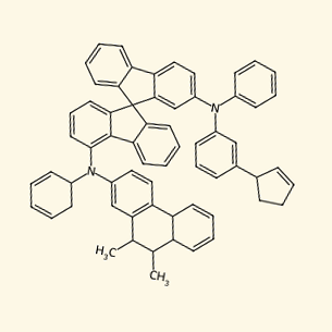 CC1c2cc(N(c3cccc4c3-c3ccccc3C43c4ccccc4-c4ccc(N(c5ccccc5)c5cccc(C6C=CCC6)c5)cc43)C3C=CC=CC3)ccc2C2C=CC=CC2C1C